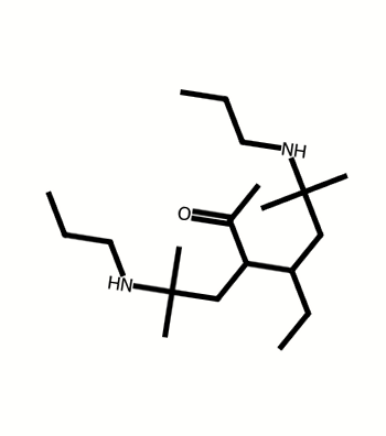 CCCNC(C)(C)CC(CC)C(CC(C)(C)NCCC)C(C)=O